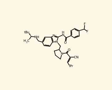 CC(C)/C=C(\C#N)C(=O)N1CCCC1Cn1c(NC(=O)c2ccc(C(F)F)cc2)nc2cc(CN[C@@H](C)C(C)(C)C)ccc21